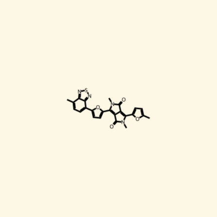 Cc1ccc(C2=C3C(=O)N(C)C(c4ccc(-c5ccc(C)c6nsnc56)o4)=C3C(=O)N2C)o1